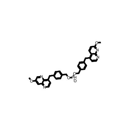 COc1cnc2c(Cc3ccc(CO[PH](=O)OCc4ccc(Cc5ccnc6nc(OC)ccc56)cc4)cc3)ccnc2c1